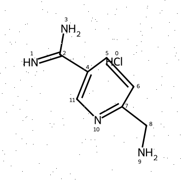 Cl.N=C(N)c1ccc(CN)nc1